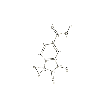 COC(=O)c1ccc2c(c1)N(Cl)C(=O)C21CC1